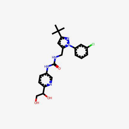 CC(C)(C)c1cc(CNC(=O)Nc2ccc(C(O)CO)nc2)n(-c2cccc(Cl)c2)n1